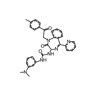 Cc1ccc(C(=O)CN2C(=O)[C@H](NC(=O)Nc3cccc(N(C)C)c3)N=C(c3ccccn3)c3ccccc32)cc1